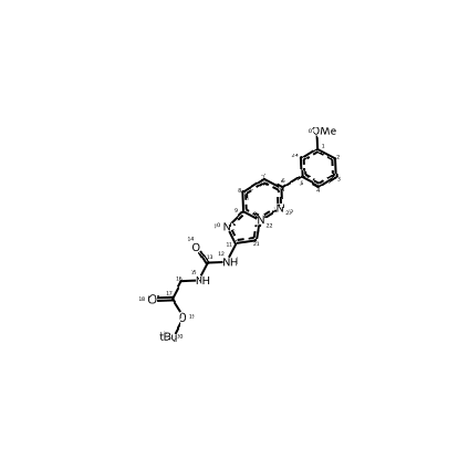 COc1cccc(-c2ccc3nc(NC(=O)NCC(=O)OC(C)(C)C)cn3n2)c1